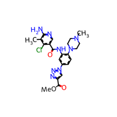 COC(=O)c1cn(-c2ccc(N3CCN(C)CC3)c(NC(=O)c3cnc(N)c(C)c3Cl)c2)nn1